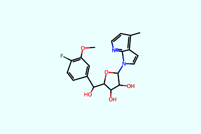 COc1cc(C(O)C2OC(n3ccc4c(C)ccnc43)C(O)C2O)ccc1F